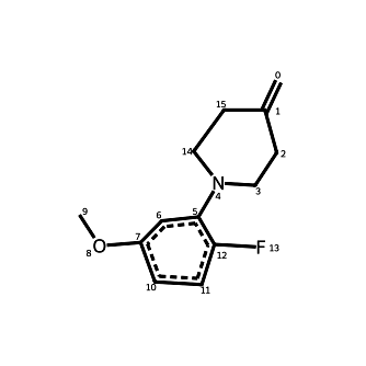 C=C1CCN(c2cc(OC)ccc2F)CC1